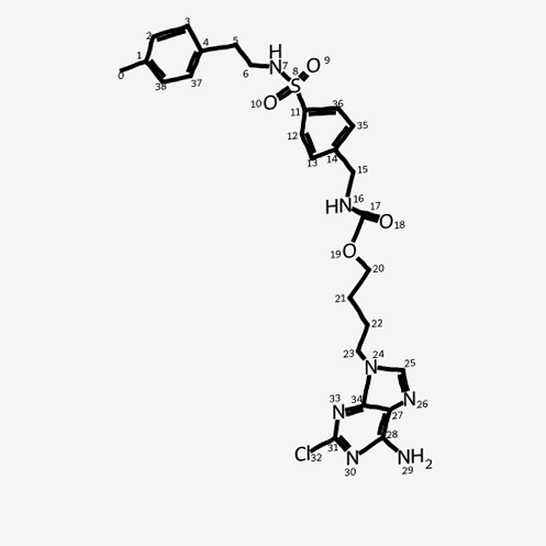 Cc1ccc(CCNS(=O)(=O)c2ccc(CNC(=O)OCCCCn3cnc4c(N)nc(Cl)nc43)cc2)cc1